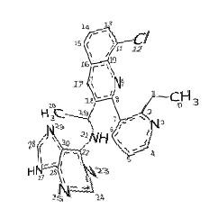 CCc1ncccc1-c1nc2c(Cl)cccc2cc1C(C)Nc1ncnc2[nH]cnc12